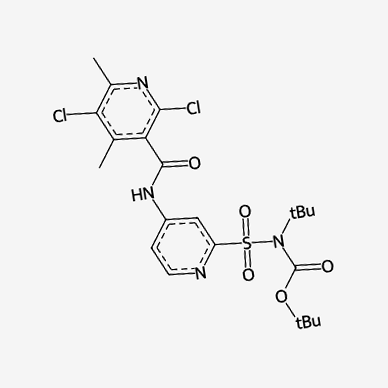 Cc1nc(Cl)c(C(=O)Nc2ccnc(S(=O)(=O)N(C(=O)OC(C)(C)C)C(C)(C)C)c2)c(C)c1Cl